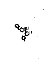 Cc1cccc(C2CCNC(C(C)N3CCC(Cc4ccccc4)CC3)C2)c1.Cl.Cl